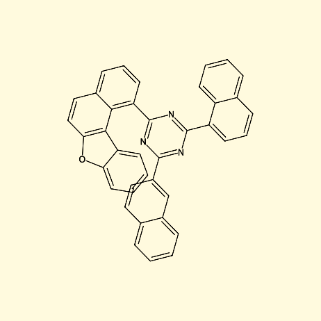 c1ccc2cc(-c3nc(-c4cccc5ccccc45)nc(-c4cccc5ccc6oc7ccccc7c6c45)n3)ccc2c1